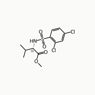 COC(=O)[C@@H](NS(=O)(=O)c1ccc(Cl)cc1Cl)C(C)C